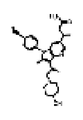 Cc1c(C(=O)CN2CCC(O)CC2)c2ncc(C(C)CC(N)=O)cc2n1-c1ccc(C#N)cc1